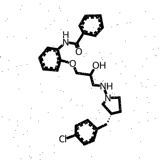 O=C(Nc1ccccc1OCC(O)CNN1CC[C@H](Cc2ccc(Cl)cc2)C1)c1ccccc1